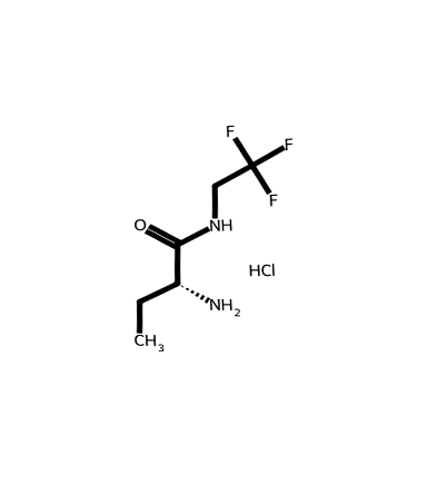 CC[C@@H](N)C(=O)NCC(F)(F)F.Cl